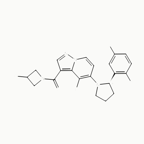 O=C(c1cnn2ccc(N3CCC[C@@H]3c3cc(F)ccc3F)c(F)c12)N1CC(O)C1